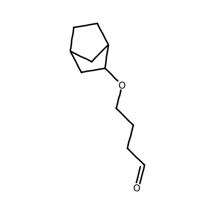 O=CCCCOC1CC2CCC1C2